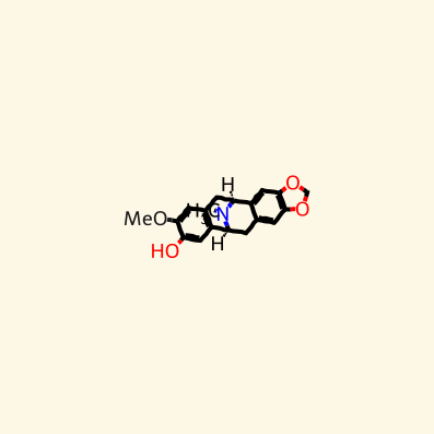 COc1cc2c(cc1O)[C@@H]1Cc3cc4c(cc3[C@H](C2)N1C)OCO4